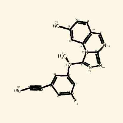 CN(c1cc(F)cc(C#CC(C)(C)C)c1)c1nnc2ncc3ccc(C#N)cc3n12